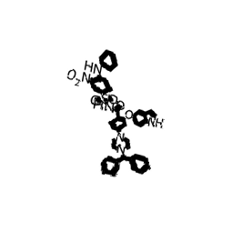 O=C(NS(=O)(=O)c1ccc(Nc2ccccc2)c([N+](=O)[O-])c1)c1ccc(N2CCN(C(c3ccccc3)c3ccccc3)CC2)cc1Oc1ccc2[nH]ccc2c1